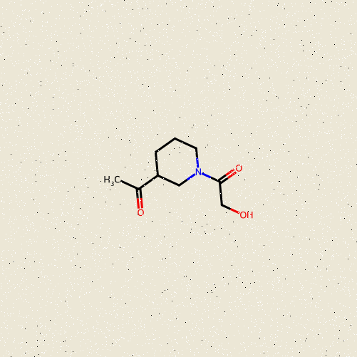 CC(=O)C1CCCN(C(=O)CO)C1